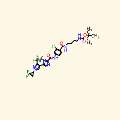 Cn1c(-c2cn(C3CC3(F)F)nc2C(F)(F)F)cnc1C(=O)Nc1ccc(C(=O)NCCCCNC(=O)OC(C)(C)C)c(Cl)c1